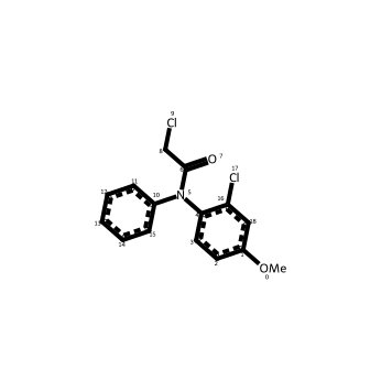 COc1ccc(N(C(=O)CCl)c2ccccc2)c(Cl)c1